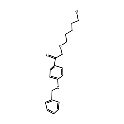 O=C(COCCCCCCl)c1ccc(OCc2ccccc2)cc1